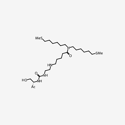 CSCCCCCCN(CCCCCCSC)C(=O)CCCCNCCNC(=O)N[C@@H](CO)C(C)=O